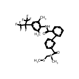 CSCN(C)C(=O)c1cccc(-c2ccccc2C(=O)Nc2c(C)cc(C(F)(C(F)(F)F)C(F)(F)F)cc2C)c1